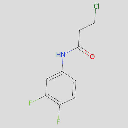 O=C(CCCl)Nc1ccc(F)c(F)c1